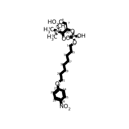 C[N+](C)(C)C([O-])[C@@H](CC(=O)O)OP(=O)(O)OCCCCCCCCOc1ccc([N+](=O)[O-])cc1